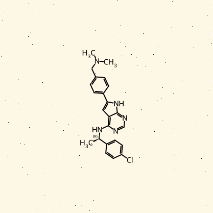 C[C@@H](Nc1ncnc2[nH]c(-c3ccc(CN(C)C)cc3)cc12)c1ccc(Cl)cc1